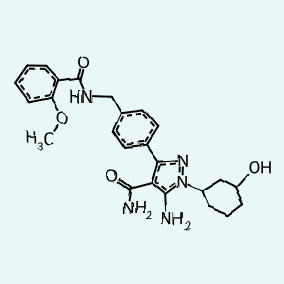 COc1ccccc1C(=O)NCc1ccc(-c2nn(C3CCCC(O)C3)c(N)c2C(N)=O)cc1